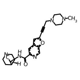 CN1CCN(CC#Cc2cc3cc(C(=O)N[C@H]4CN5CCC4CC5)ncc3o2)CC1